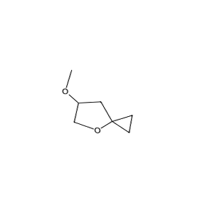 COC1COC2(CC2)C1